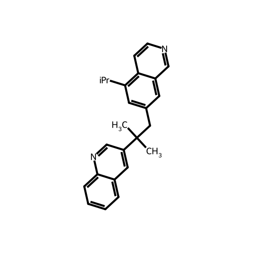 CC(C)c1cc(CC(C)(C)c2cnc3ccccc3c2)cc2cnccc12